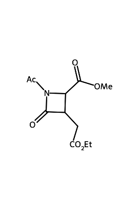 CCOC(=O)CC1C(=O)N(C(C)=O)C1C(=O)OC